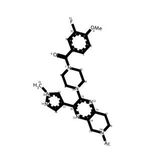 COc1ccc(C(=O)N2CCN(c3nc4c(nc3-c3cnn(C)c3)CN(C(C)=O)CC4)CC2)cc1F